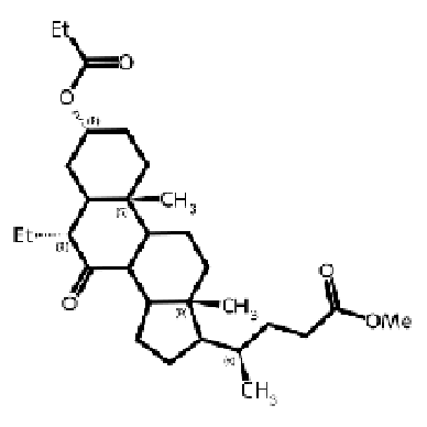 CCC(=O)O[C@@H]1CC[C@]2(C)C3CC[C@@]4(C)C(CCC4[C@H](C)CCC(=O)OC)C3C(=O)[C@H](CC)C2C1